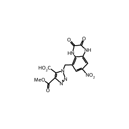 COC(=O)c1nnn(Cc2cc([N+](=O)[O-])cc3[nH]c(=O)c(=O)[nH]c23)c1C(=O)O